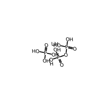 O=P(O)(O)O.O=P(O)(O)OP(=O)(O)O.[LiH]